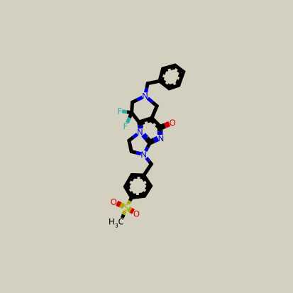 CS(=O)(=O)c1ccc(CN2CCn3c2nc(=O)c2c3C(F)(F)CN(Cc3ccccc3)C2)cc1